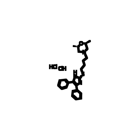 C[C@H]1CN(CCCCSc2nc(-c3ccccc3)c(-c3ccccc3)[nH]2)C[C@H](C)O1.Cl.Cl